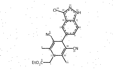 CCOC(=O)CN1C(C)=C(C#N)C(c2ccc3[nH]nc(Cl)c3c2)C(C#N)=C1C